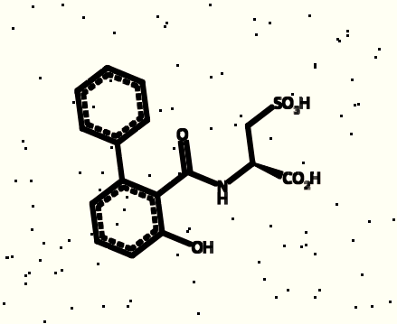 O=C(N[C@@H](CS(=O)(=O)O)C(=O)O)c1c(O)cccc1-c1ccccc1